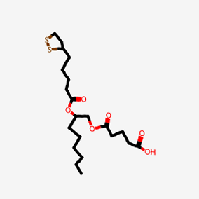 CCCCCCC(COC(=O)CCCC(=O)O)OC(=O)CCCCC1CCSS1